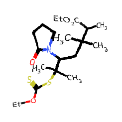 CCOC(=O)C(C)C(C)(C)CC(N1CCCC1=O)C(C)(C)SC(=S)OCC